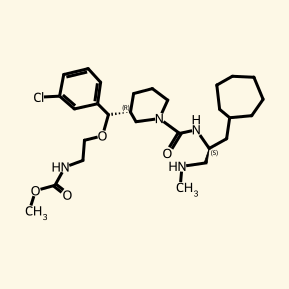 CNC[C@H](CC1CCCCCC1)NC(=O)N1CCC[C@@H](C(OCCNC(=O)OC)c2cccc(Cl)c2)C1